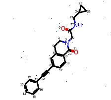 O=C(CN1CCc2cc(C#Cc3ccccc3)ccc2C1=O)NCC1CC1